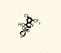 O=S(=O)(c1cnc2c(C(F)(F)F)cc(Cl)cc2c1O)N1CCSCC1